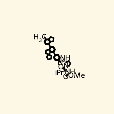 COC(=O)N[C@H](C(=O)N1CCC[C@H]1c1nc2ccc(-c3ccc(-c4ccc(C)c5c4CCC5)c4c3C3(CCCC3)CC4)cc2[nH]1)C(C)C